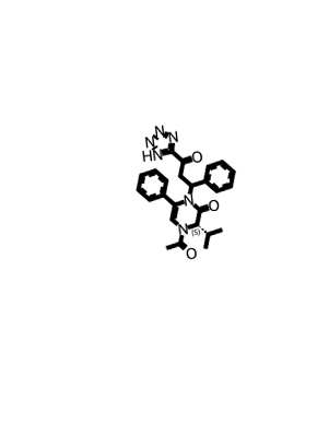 CC(=O)N1C=C(c2ccccc2)N(C(CC(=O)c2nnn[nH]2)c2ccccc2)C(=O)[C@@H]1C(C)C